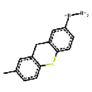 BBc1ccc2c(c1)Cc1cc(C)ccc1S2